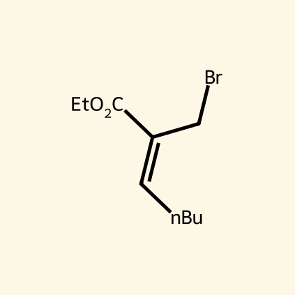 CCCCC=C(CBr)C(=O)OCC